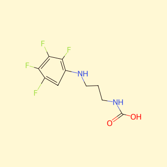 O=C(O)NCCCNc1cc(F)c(F)c(F)c1F